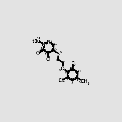 Cc1cc(Cl)c(OCCSc2cnn(C(C)(C)C)c(=O)c2Cl)c(Cl)c1